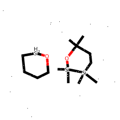 C1CC[SiH2]OC1.CC1(C)CC[Si](C)(C)[Si](C)(C)O1